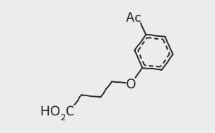 CC(=O)c1cccc(OCCCC(=O)O)c1